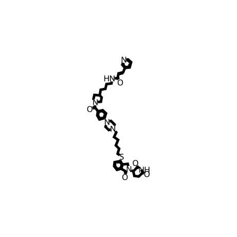 O=C(/C=C/c1cccnc1)NCCCCC1CCN(C(=O)c2ccc(N3CCN(CCCCCCSc4cccc5c4CN(C4CCC(=O)NC4=O)C5=O)CC3)cc2)CC1